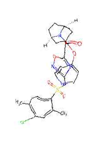 Cc1cc(S(=O)(=O)Cc2noc(C(=O)N3[C@@H]4CC[C@H]3CC(Oc3ccncc3)C4)n2)c(C)cc1Cl